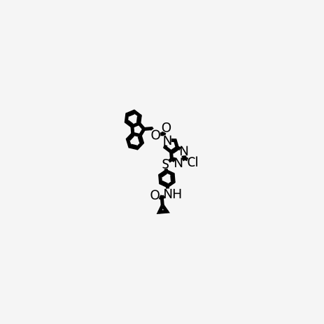 O=C(Nc1ccc(Sc2nc(Cl)nc3c2CN(C(=O)OCC2c4ccccc4-c4ccccc42)C3)cc1)C1CC1